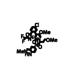 CN/C=C1/C=C(NC(=O)C(CCOC)n2cc(OC)c(-c3cc(Cl)ccc3-c3nnc(C(F)F)o3)cc2=O)C=CC1=N